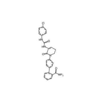 NC(=O)c1ccccc1-c1ccc(N2CCC=C(NC(=O)Nc3ccc(Cl)cc3)C2=O)cc1